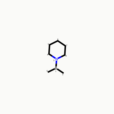 CB(C)N1CCCCC1